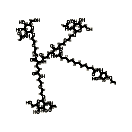 CCO[C@@H]1C[C@H](NC(=O)CCCCCCCCCCC(=O)NC(CCC(=O)NC(CCC(=O)NCCOCCOC2OC(CO)C(O)C(O)C2NC(C)=O)C(=O)NCCOCCOC2OC(CO)C(O)C(O)C2NC(C)=O)C(=O)NCCOCCOC2OC(CO)C(O)C(O)C2NC(C)=O)[C@@H](O)C1